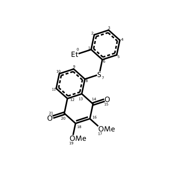 CCc1ccccc1Sc1cccc2c1C(=O)C(OC)=C(OC)C2=O